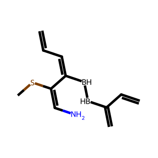 C=C/C=C(BBC(=C)C=C)\C(=C/N)SC